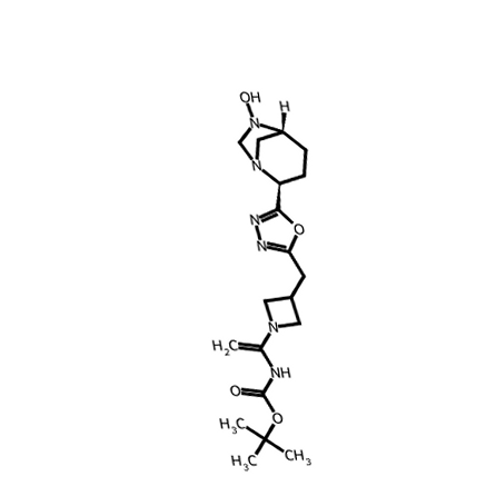 C=C(NC(=O)OC(C)(C)C)N1CC(Cc2nnc([C@@H]3CC[C@@H]4CN3CN4O)o2)C1